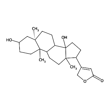 CC12CCC3C(CC[C@]4(C)CC(O)CCC34C)C1(O)CCC2C1=CC(=O)OC1